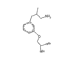 CCCC(CCC)COc1cccc(CC(C)CN)c1